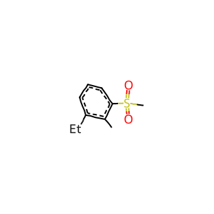 CCc1cccc(S(C)(=O)=O)c1C